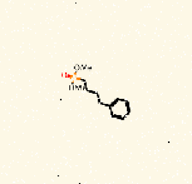 COP(=O)(CCCCc1ccccc1)OC